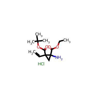 C=CC1(C(=O)OC(C)(C)C)CC1(N)C(=O)OCC.Cl